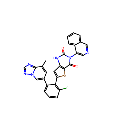 Cc1cc(-c2cccc(Cl)c2-c2cc3[nH]c(=O)n(-c4cncc5ccccc45)c(=O)c3s2)cn2ncnc12